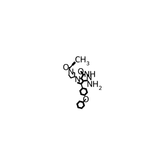 CC#CC(=O)N1CC[C@@H](n2cc(-c3ccc(Oc4ccccc4)cc3)c3c(N)n[nH]c(=O)c32)C1